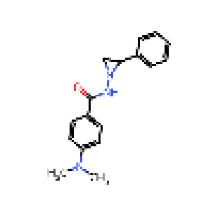 CN(C)c1ccc(C(=O)NN2CC2c2ccccc2)cc1